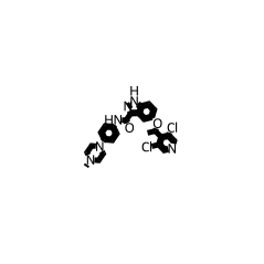 CC(Oc1ccc2[nH]nc(C(=O)Nc3ccc(N4CCN(C)CC4)cc3)c2c1)c1c(Cl)cncc1Cl